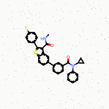 CNC(=O)c1c(-c2ccc(F)cc2)sc2ccc(-c3cccc(C(=O)N(c4ccccc4)C4CC4)c3)cc12